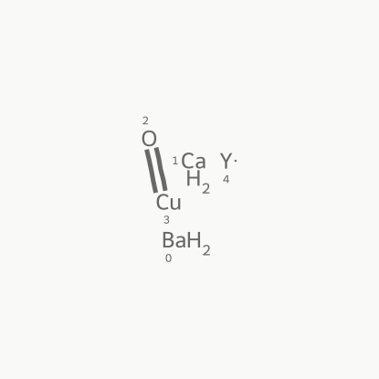 [BaH2].[CaH2].[O]=[Cu].[Y]